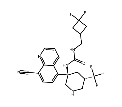 N#Cc1ccc([C@@]2(NC(=O)NCC3CC(F)(F)C3)CNC[C@@H](C(F)(F)F)C2)c2cccnc12